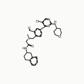 CN(CC(=O)NC1CCc2ccccc2C1)Cc1ccc(-c2nc(NC3CCOCC3)ncc2Cl)cc1C=O